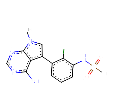 CCCS(=O)(=O)Nc1cccc(-c2cn(C)c3ncnc(N)c23)c1F